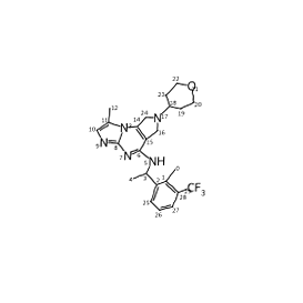 Cc1c(C(C)Nc2nc3ncc(C)n3c3c2CN(C2CCOCC2)C3)cccc1C(F)(F)F